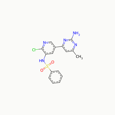 Cc1cc(-c2cnc(Cl)c(NS(=O)(=O)c3ccccc3)c2)nc(N)n1